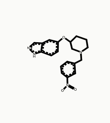 O=[N+]([O-])c1cccc(CN2CCCC(Oc3ccc4[nH]ncc4c3)C2)c1